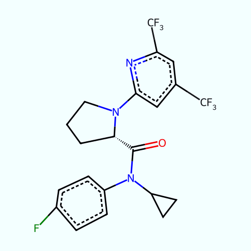 O=C([C@@H]1CCCN1c1cc(C(F)(F)F)cc(C(F)(F)F)n1)N(c1ccc(F)cc1)C1CC1